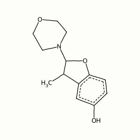 CC1c2cc(O)ccc2OC1N1CCOCC1